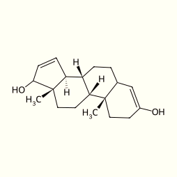 C[C@]12CCC(O)=CC1CC[C@@H]1[C@H]2CC[C@]2(C)C(O)C=C[C@@H]12